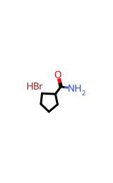 Br.NC(=O)C1CCCC1